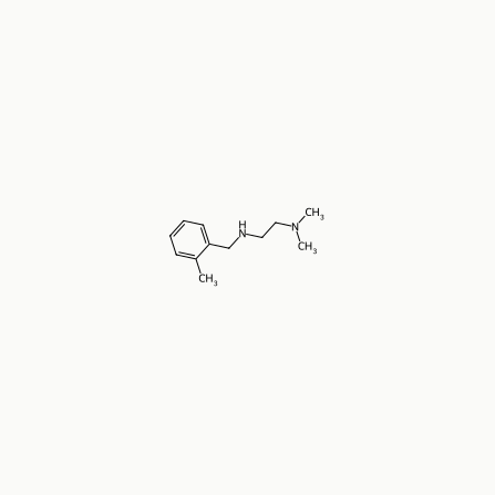 Cc1ccccc1CNCCN(C)C